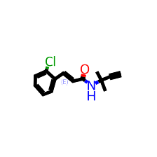 C#CC(C)(C)NC(=O)/C=C/c1ccccc1Cl